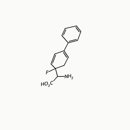 NC(C(=O)O)C1(F)C=CC(c2ccccc2)=CC1